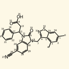 Cc1cc(C)c2c(Cn3c(=O)n(C(CC(=O)O)c4ccccc4)c4cc(C#N)ccc43)nsc2c1